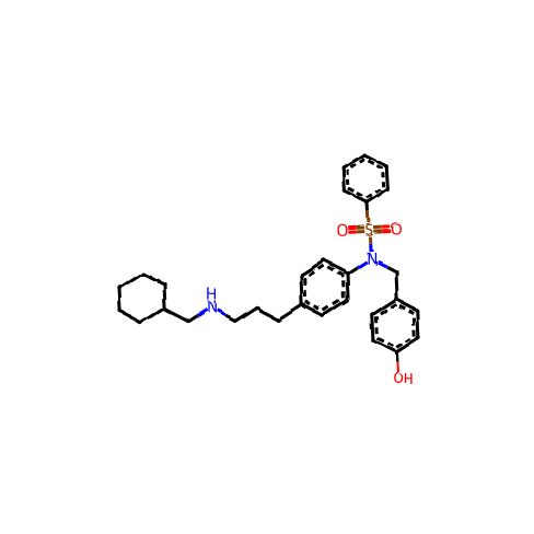 O=S(=O)(c1ccccc1)N(Cc1ccc(O)cc1)c1ccc(CCCNCC2CCCCC2)cc1